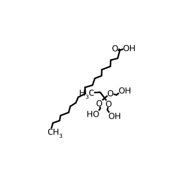 CCC(OCO)(OCO)OCO.CCCCCCCCCCCCCCCCCC(=O)O